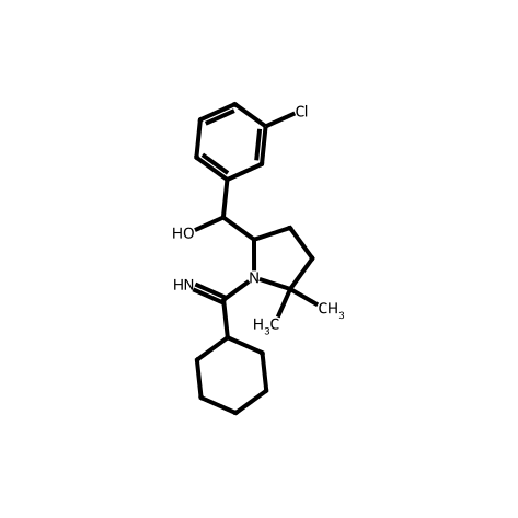 CC1(C)CCC(C(O)c2cccc(Cl)c2)N1C(=N)C1CCCCC1